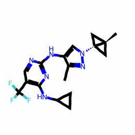 Cc1nn([C@]23C[C@]2(C)C3)cc1Nc1ncc(C(F)(F)F)c(NC2CC2)n1